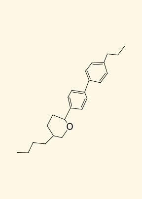 CCCCC1CCC(c2ccc(-c3ccc(CCC)cc3)cc2)OC1